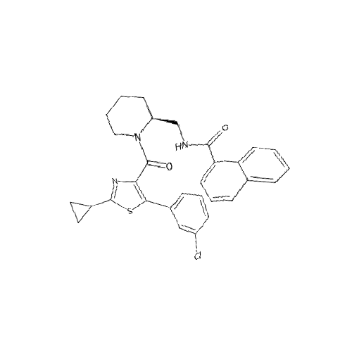 O=C(NC[C@@H]1CCCCN1C(=O)c1nc(C2CC2)sc1-c1cccc(Cl)c1)c1cccc2ccccc12